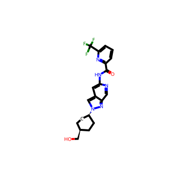 O=C(Nc1cc2cn([C@H]3CC[C@H](CO)CC3)nc2cn1)c1cccc(C(F)(F)F)n1